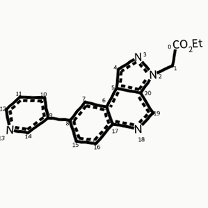 CCOC(=O)Cn1ncc2c3cc(-c4cccnc4)ccc3ncc21